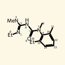 CCN=C(NC)NC(=O)N(C)c1c(C)cccc1CC